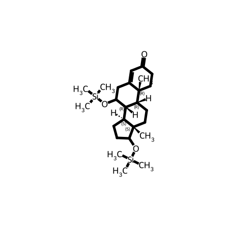 C[C@]12CCC(=O)C=C1CC(O[Si](C)(C)C)[C@@H]1[C@H]2CC[C@]2(C)C(O[Si](C)(C)C)CC[C@@H]12